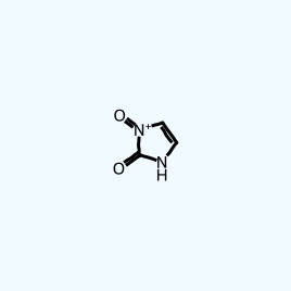 O=C1NC=C[N+]1=O